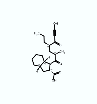 CCC[C@H](C[C@@H](C)C(=O)N1[C@H](C(=O)O)C[C@@H]2CCCC[C@@H]21)C(=O)C#CO